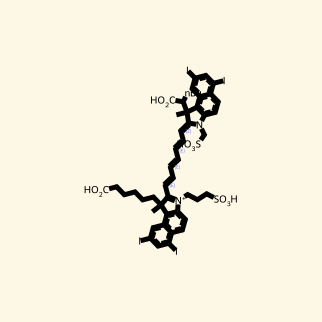 CCCCC(C(=O)O)C1(C)/C(=C/C=C/C=C/C=C/C2=[N+](CCCS(=O)(=O)O)c3ccc4c(I)cc(I)cc4c3C2(C)CCCCCC(=O)O)N(CS(=O)(=O)O)c2ccc3c(I)cc(I)cc3c21